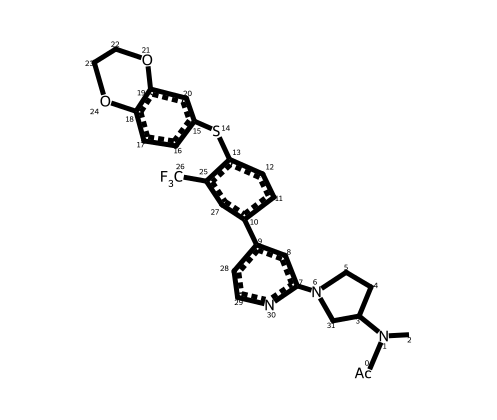 CC(=O)N(C)C1CCN(c2cc(-c3ccc(Sc4ccc5c(c4)OCCO5)c(C(F)(F)F)c3)ccn2)C1